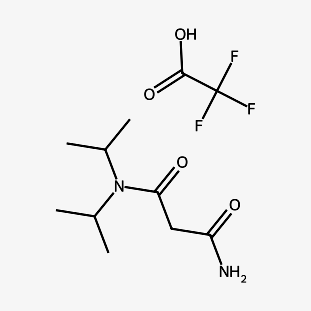 CC(C)N(C(=O)CC(N)=O)C(C)C.O=C(O)C(F)(F)F